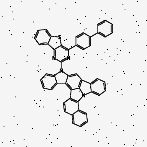 c1ccc(-c2ccc(-c3nc(-n4c5ccccc5c5c6c7ccc8ccccc8c7n7c8ccccc8c(cc54)c67)nc4c3sc3ccccc34)cc2)cc1